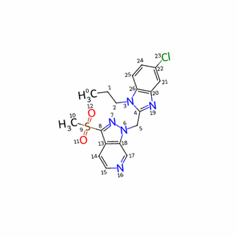 CCCn1c(Cn2nc(S(C)(=O)=O)c3ccncc32)nc2cc(Cl)ccc21